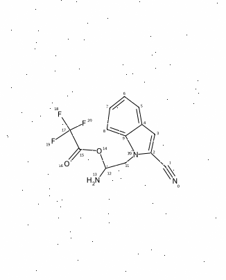 N#Cc1cc2ccccc2n1CC(N)OC(=O)C(F)(F)F